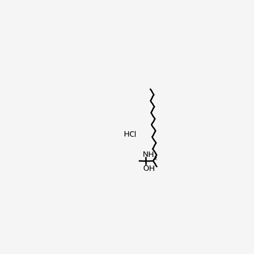 CCCCCCCCCCCCC(C)C(C)(N)O.Cl